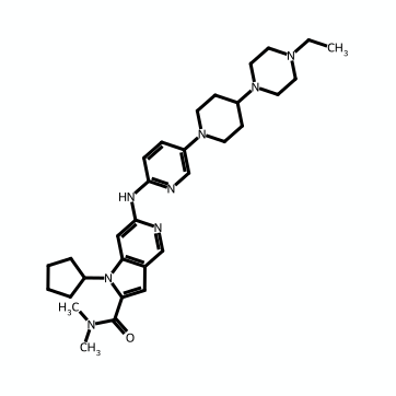 CCN1CCN(C2CCN(c3ccc(Nc4cc5c(cn4)cc(C(=O)N(C)C)n5C4CCCC4)nc3)CC2)CC1